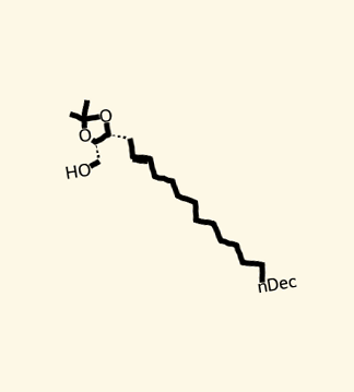 CCCCCCCCCCCCCCCCCCCCC=CC[C@H]1OC(C)(C)O[C@H]1CO